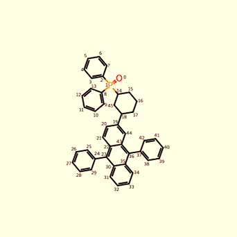 O=P(c1ccccc1)(c1ccccc1)C1CCCC(c2ccc3c(-c4ccccc4)c4ccccc4c(-c4ccccc4)c3c2)C1